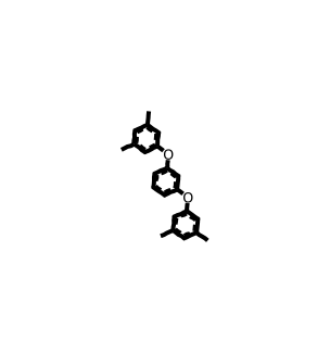 Cc1cc(C)cc(Oc2cccc(Oc3cc(C)cc(C)c3)c2)c1